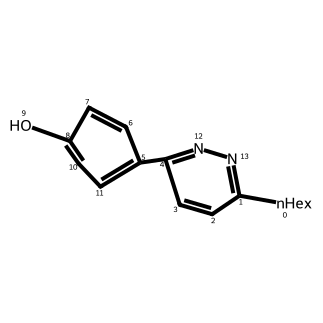 CCCCCCc1ccc(-c2ccc(O)cc2)nn1